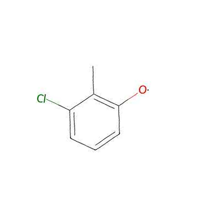 Cc1c([O])cccc1Cl